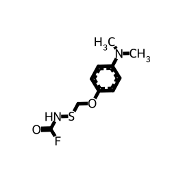 CN(C)c1ccc(OCSNC(=O)F)cc1